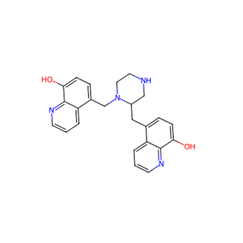 Oc1ccc(CC2CNCCN2Cc2ccc(O)c3ncccc23)c2cccnc12